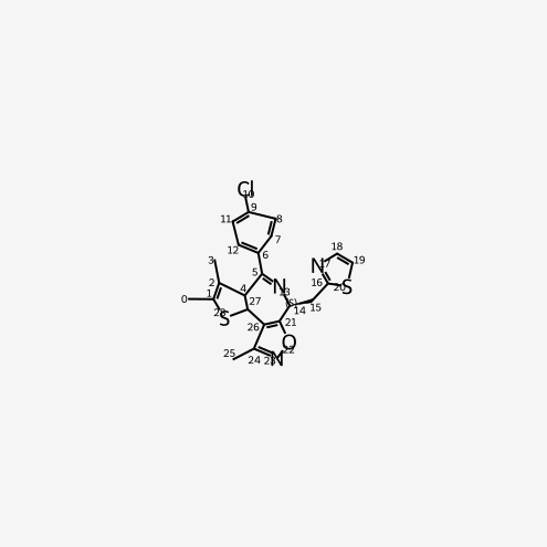 CC1=C(C)C2C(c3ccc(Cl)cc3)=N[C@@H](Cc3nccs3)c3onc(C)c3C2S1